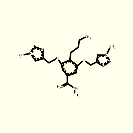 C=C(NC)c1cc(OCc2cn(C)nn2)c(CCCC)c(OCc2cn(C)nn2)c1